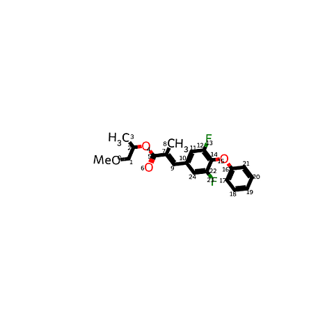 COCC(C)OC(=O)/C(C)=C/c1cc(F)c(Oc2ccccc2)c(F)c1